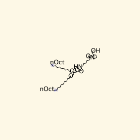 CCCCCCCC/C=C\CCCCCCCCOCC(COC(=O)NCCCCCC(=O)N1CCCC1CO)OCCCCCCCC/C=C\CCCCCCCC